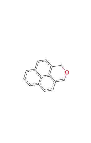 [CH]1OC=c2ccc3cccc4ccc1c2c43